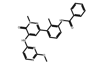 COc1nccc(Nc2cc(-c3cccc(NC(=O)c4ccccc4)c3C)nn(C)c2=O)n1